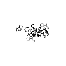 CCC(O)c1cc(-c2cnco2)ccc1NC(=O)C(CC(C)C)N(C(=O)O)C(C)(C)C